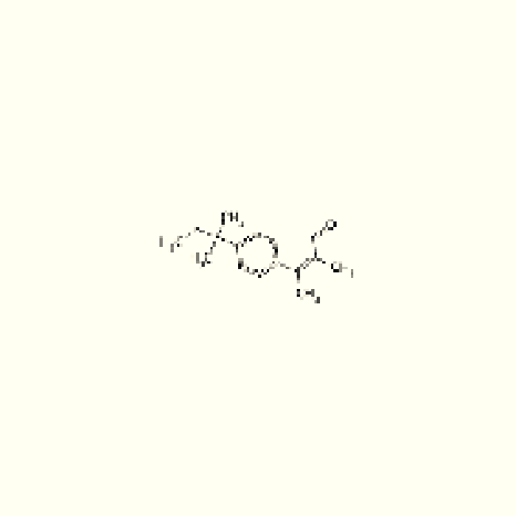 CCC(C)(C)c1ccc(C(C)=C(C)C=O)cc1